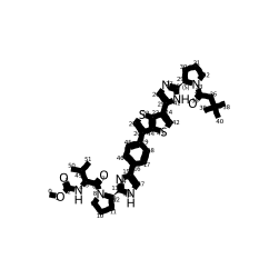 COC(=O)NC(C(=O)N1CCC[C@H]1c1nc(-c2ccc(-c3csc4c(-c5cnc([C@@H]6CCCN6C(=O)CC(C)(C)C)[nH]5)csc34)cc2)c[nH]1)C(C)C